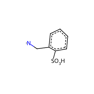 [N]Cc1ccccc1S(=O)(=O)O